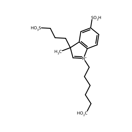 CC1(CCCS(=O)(=O)O)C=[N+](CCCCCC(=O)O)c2ccc(S(=O)(=O)O)cc21